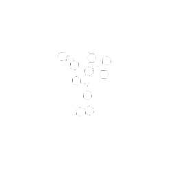 c1cc(-c2ccc3sc4ccccc4c3c2)cc(N(Cc2cccc3c2-c2ccccc2C32c3ccccc3-c3ccccc32)c2ccc(-c3cccc4ccccc34)cc2)c1